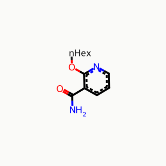 CCCCCCOc1ncccc1C(N)=O